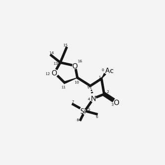 CC(=O)[C@H]1C(=O)N([Si](C)(C)C)[C@@H]1[C@H]1COC(C)(C)O1